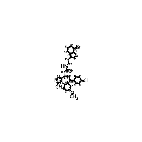 COc1ccc2c(c1)C(c1ccc(Cl)cc1)=N[C@@H](CC(=O)NCCc1csc3c(Br)cccc13)c1nnc(C)n1-2